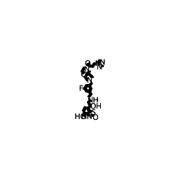 O=C(CCn1cncn1)N1CCOC2(CCN(Cc3cc(F)cc(CCNC[C@H](O)c4ccc(O)c5[nH]c(=O)sc45)c3)CC2)C1